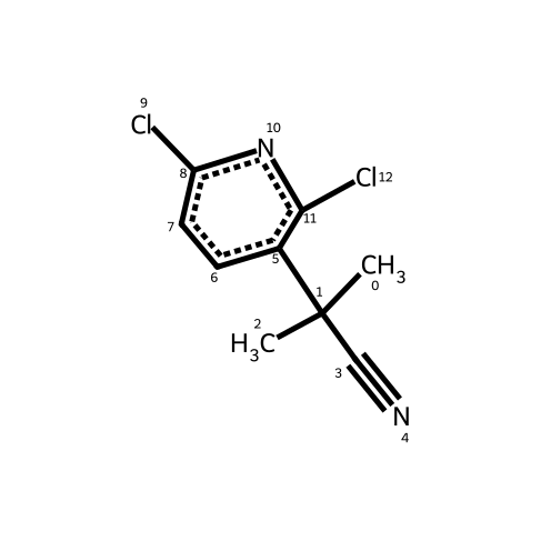 CC(C)(C#N)c1ccc(Cl)nc1Cl